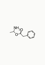 CC(N)OC(=O)Cc1ccccc1